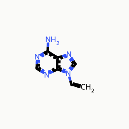 C=Cn1cnc2c(N)ncnc21